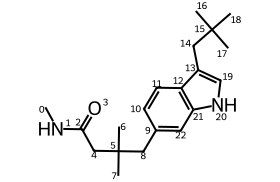 CNC(=O)CC(C)(C)Cc1ccc2c(CC(C)(C)C)c[nH]c2c1